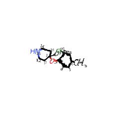 COC1(Oc2ccc(C)cc2Cl)CCNCC1